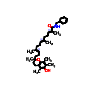 C/C(=C\CC/C(C)=C/CCC1(C)CCc2c(C)c(O)c(C)c(C)c2O1)CC/C=C(\C)C(=O)NCc1ccccc1